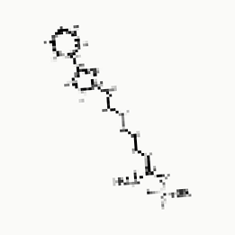 CC(C)(C)[Si](C)(C)O/C(=C/CCCCCSc1nc(-c2ccccc2)cs1)C(=O)O